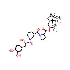 CC(CC1CCC(C)(C)C1(C)C)OC(=O)C1CCCN1C(=O)C1CCCN(C(=O)C(O)Cc2ccc(O)c(O)c2)C1